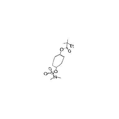 CCC(C)(C)C(=O)OC1CCC(OS(=O)(=O)N(C)C)CC1